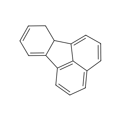 C1=CCC2C(=C1)c1cccc3cccc2c13